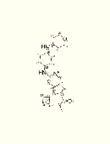 CN(C)C(=O)c1cc2cnc(NC3CCC(NC4CCOCC4)CC3)nc2n1C12CC(C1)C2